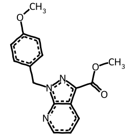 COC(=O)c1nn(Cc2ccc(OC)cc2)c2ncccc12